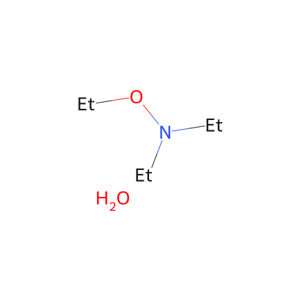 CCON(CC)CC.O